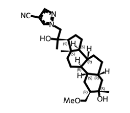 COC[C@H]1C[C@H]2[C@H](CC[C@@H]3[C@@H]2CC[C@]2(C)[C@@H](C(C)(O)Cn4cc(C#N)cn4)CC[C@@H]32)C[C@]1(C)O